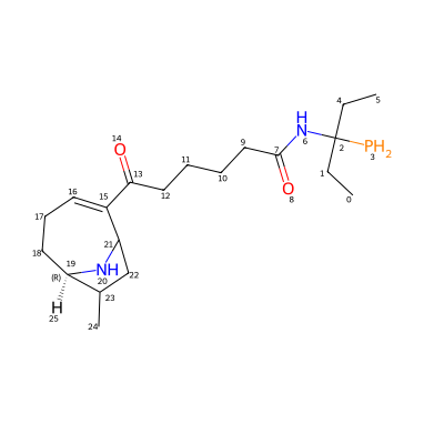 CCC(P)(CC)NC(=O)CCCCC(=O)C1=CCC[C@H]2NC1CC2C